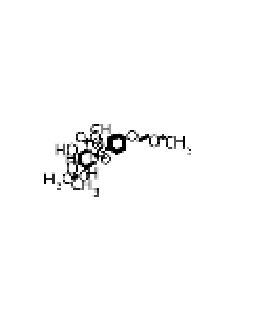 CCOCCOc1ccc(S(=O)(=O)N2C[C@@H]3OC(C)(C)O[C@H]3[C@H](O)[C@@H]2C(=O)OC)cc1